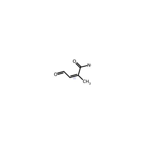 C/C(=C/C=O)C([N])=O